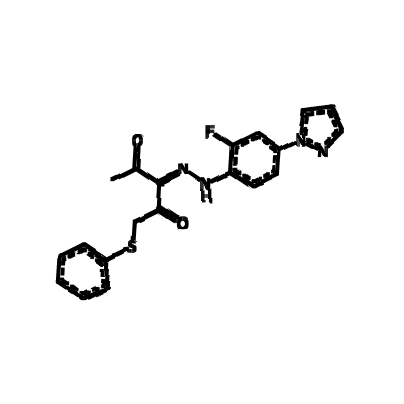 CC(=O)C(=NNc1ccc(-n2cccn2)cc1F)C(=O)CSc1ccccc1